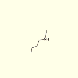 CCCCNI